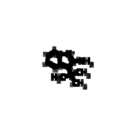 CC(C)(C)c1c(N)nn2ccccc12